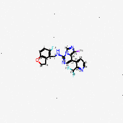 Fc1ccc2c(c1CNc1ncc(-c3cccnc3C(F)F)c3c(I)ncn13)CCO2